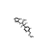 CC(C)OCc1ccc(C(F)(F)C(O)Cc2nnn[nH]2)nc1